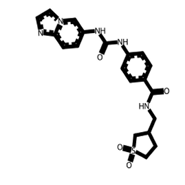 O=C(Nc1ccc(C(=O)NCC2CCS(=O)(=O)C2)cc1)Nc1ccc2nccn2c1